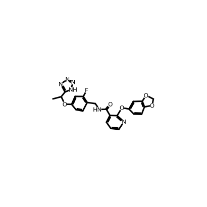 CC(Oc1ccc(CNC(=O)c2cccnc2Oc2ccc3c(c2)OCO3)c(F)c1)c1nnn[nH]1